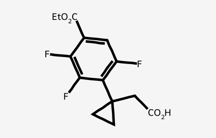 CCOC(=O)c1cc(F)c(C2(CC(=O)O)CC2)c(F)c1F